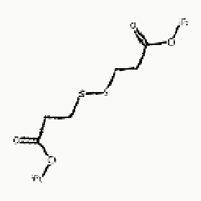 CC(C)OC(=O)CCSSCCC(=O)OC(C)C